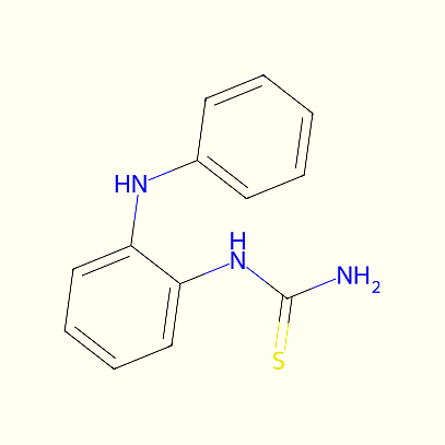 NC(=S)Nc1ccccc1Nc1ccccc1